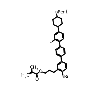 C=C(C)C(=O)OCCCc1cc(-c2ccc(-c3ccc(C4CCC(CCCCC)CC4)cc3F)cc2)ccc1CCCC